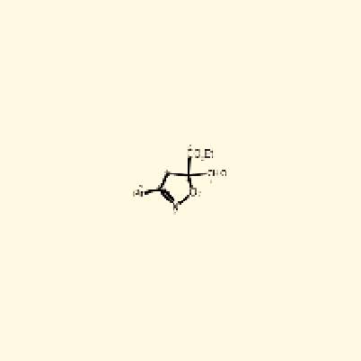 CCOC(=O)C1(C=O)CC(C(C)C)=NO1